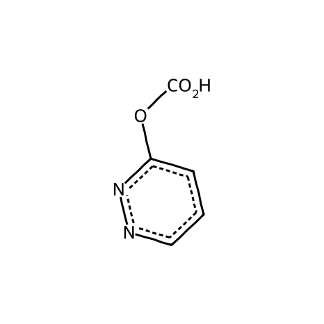 O=C(O)Oc1cccnn1